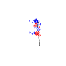 CCCCCCCCCCCCCCCCC(=O)OCC(COP(=O)(O)OCCN)OC(=O)CCNCCNC(=O)CC[C@H](NC(=O)c1ccc(N(C)Cc2cnc3nc(N)nc(N)c3n2)cc1)C(=O)O